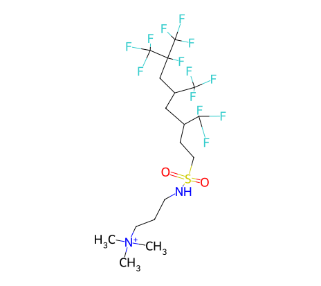 C[N+](C)(C)CCCNS(=O)(=O)CCC(CC(CC(F)(C(F)(F)F)C(F)(F)F)C(F)(F)F)C(F)(F)F